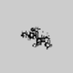 CS(=O)(=O)c1cc(C2CCCO2)ccc1Nc1cc(Cl)nc2c1nc(C(F)F)n2C1CCCCO1